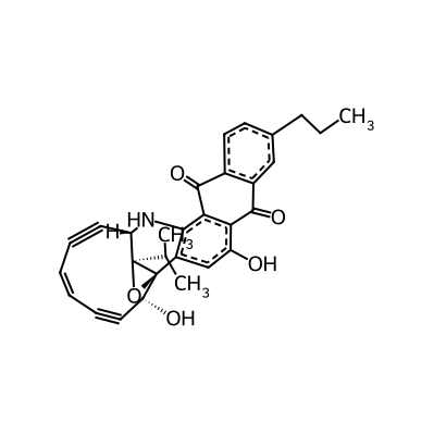 CCCc1ccc2c(c1)C(=O)c1c(O)cc3c(c1C2=O)N[C@H]1C#C/C=C\C#C[C@@H](O)[C@@]32O[C@@]12C(C)C